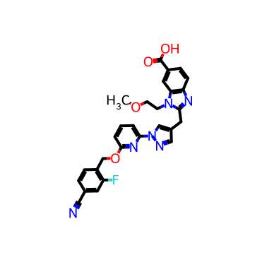 COCCn1c(Cc2cnn(-c3cccc(OCc4ccc(C#N)cc4F)n3)c2)nc2ccc(C(=O)O)cc21